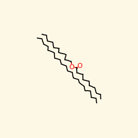 CCCCCCCCCCCCCCCCCCCCC.CCCCCCCCCCOC(=O)CCCCCCCCC